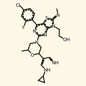 C/N=c1\sc2c(-c3ccc(Cl)cc3F)nc(N3CC(C)OC(/C(C=N)=C/NC4CC4)C3)nc2n1CCO